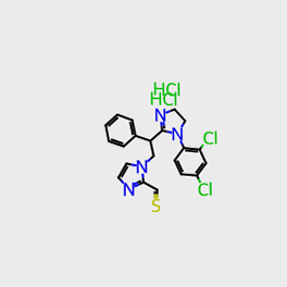 Cl.Cl.S=Cc1nccn1CC(C1=NCCN1c1ccc(Cl)cc1Cl)c1ccccc1